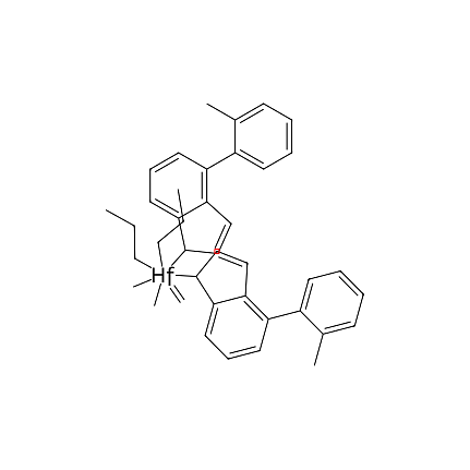 [CH2]=[Hf]([CH3])([CH3])([CH2]CC)([CH2]CC)([CH]1C=Cc2c(-c3ccccc3C)cccc21)[CH]1C=Cc2c(-c3ccccc3C)cccc21